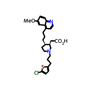 COc1ccc2nccc(CCC[C@@H]3CCN(CCCc4ccc(Cl)s4)C[C@@H]3CC(=O)O)c2c1